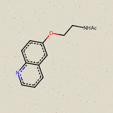 CC(=O)NCCOc1ccc2ncccc2c1